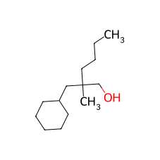 CCCCC(C)(CO)CC1CCCCC1